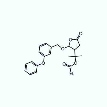 CCS(=O)OC(C)(C)C1CC(=O)OC1OCc1cccc(Oc2ccccc2)c1